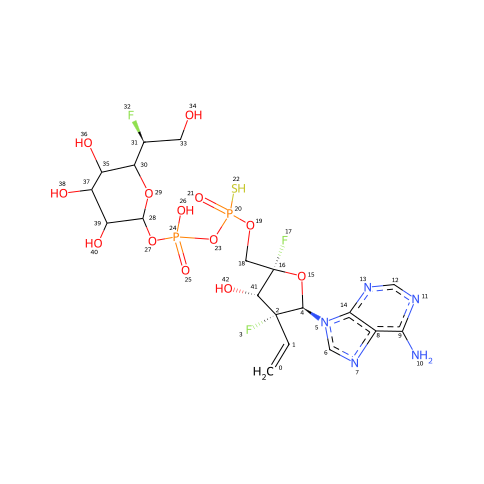 C=C[C@]1(F)[C@H](n2cnc3c(N)ncnc32)O[C@](F)(COP(=O)(S)OP(=O)(O)OC2OC([C@@H](F)CO)C(O)C(O)C2O)[C@H]1O